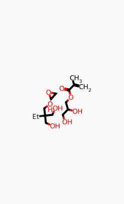 C1CO1.C=C(C)C(=O)OCC(O)CO.CCC(CO)(CO)CO